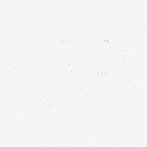 C[C](CO)c1cc(F)ccc1[N+](=O)[O-]